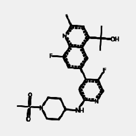 Cc1cc(C(C)(C)O)c2cc(-c3cc(NC4CCN(S(C)(=O)=O)CC4)ncc3F)cc(F)c2n1